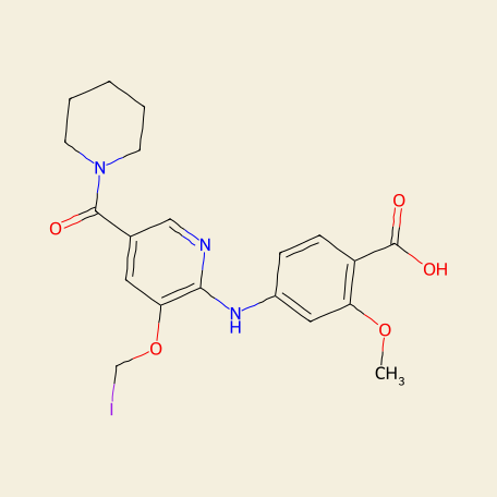 COc1cc(Nc2ncc(C(=O)N3CCCCC3)cc2OCI)ccc1C(=O)O